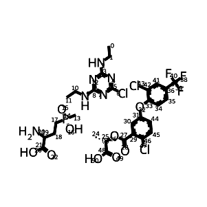 CCNc1nc(Cl)nc(NCC)n1.CP(=O)(O)CCC(N)C(=O)O.C[C@H](OC(=O)c1cc(Oc2ccc(C(F)(F)F)cc2Cl)ccc1Cl)C(=O)O